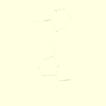 COc1cc(O)ccc1/C=C/c1cccc(N(N)C(C)=O)c1